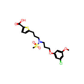 COc1cc(Cl)cc(OCCCN(CCCc2ccc(C(=O)O)s2)S(C)(=O)=O)c1